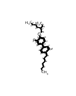 CCCCCCCc1ccc(-c2ccc(OCC(CC)CCCC)c(F)c2)cc1